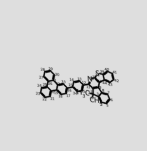 CC1(C)c2ccccc2-c2c1c(-c1ccc(-c3ccc4c5ccccc5c5ccccc5c4c3)cc1)nc1sc3ccccc3c21